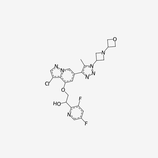 Cc1c(-c2cc(OCC(O)c3ncc(F)cc3F)c3c(Cl)cnn3c2)nnn1C1CN(C2COC2)C1